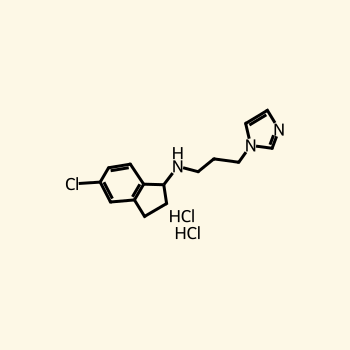 Cl.Cl.Clc1ccc2c(c1)CCC2NCCCn1ccnc1